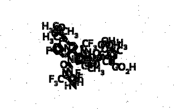 Cc1cc(CC(=O)O)c(C(C)(C)CC(=O)N(c2nn(CC(F)(F)F)c3c(-c4ccc(C#CC(C)(C)S(C)(=O)=O)nc4[C@H](Cc4cc(F)cc(F)c4)NC(=O)Cn4nc(C(F)(F)F)c5c4C(F)(F)[C@@H]4C[C@H]54)ccc(Cl)c23)S(C)(=O)=O)c(OP(=O)(O)O)c1